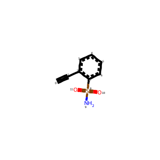 C#Cc1ccccc1S(N)(=O)=O